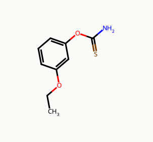 CCOc1cccc(OC(N)=S)c1